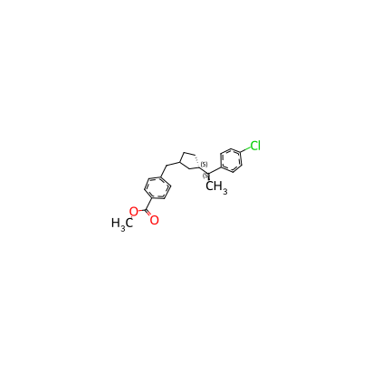 COC(=O)c1ccc(CC2CC[C@H]([C@H](C)c3ccc(Cl)cc3)C2)cc1